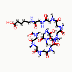 CN(C=O)CC(=O)N(C)CC(=O)N(C)CC(=O)N(C)CC(=O)N(C)CC(=O)N(C)CC(=O)N(C)CC(=O)N(C)CC(=O)N(C)CC(=O)N(C)CC(=O)NCC(=O)NCCCCC(=O)O